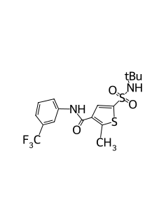 Cc1sc(S(=O)(=O)NC(C)(C)C)cc1C(=O)Nc1cccc(C(F)(F)F)c1